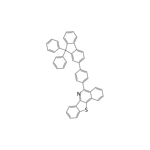 c1ccc(C2(c3ccccc3)c3ccccc3-c3ccc(-c4ccc(-c5nc6c7ccccc7sc6c6ccccc56)cc4)cc32)cc1